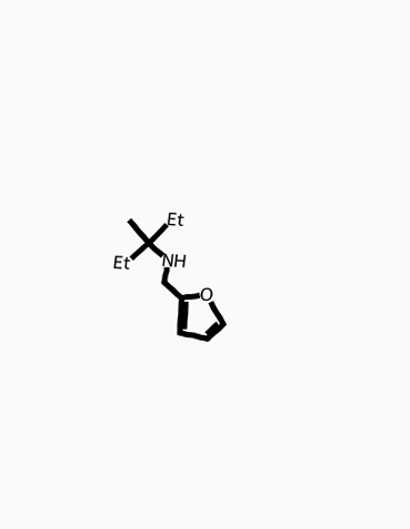 CCC(C)(CC)NCc1ccco1